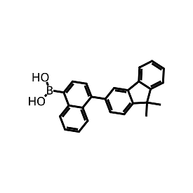 CC1(C)c2ccccc2-c2cc(-c3ccc(B(O)O)c4ccccc34)ccc21